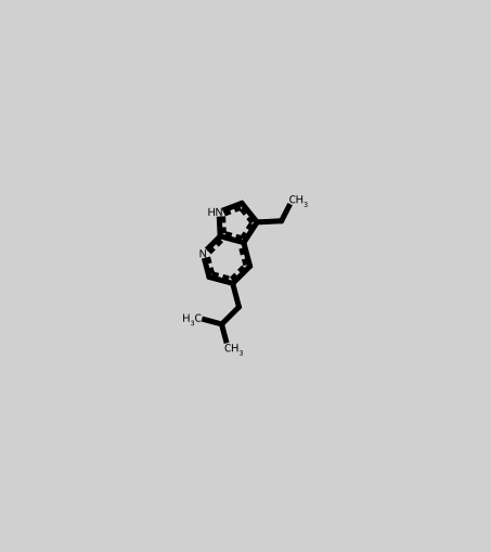 CCc1c[nH]c2ncc(CC(C)C)cc12